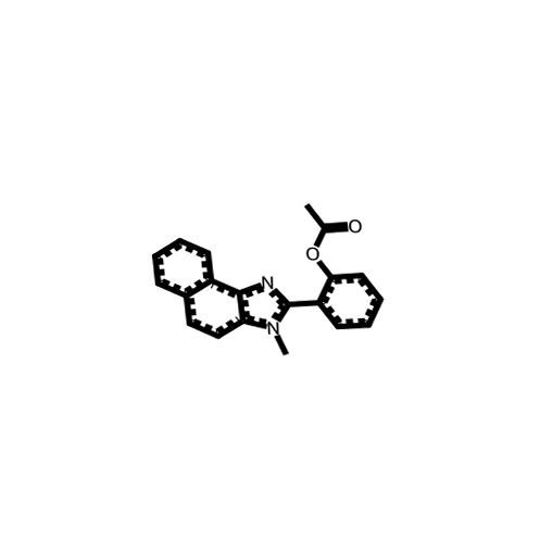 CC(=O)Oc1ccccc1-c1nc2c3ccccc3ccc2n1C